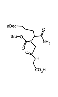 CCCCCCCCCCCCCC(C(N)=O)N(CC(=O)NCC(=O)O)C(=O)OC(C)(C)C